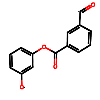 [O]c1cccc(OC(=O)c2cccc([C]=O)c2)c1